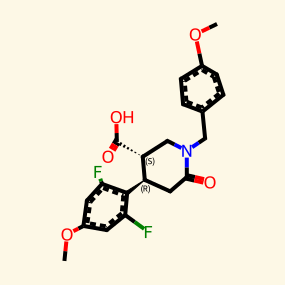 COc1ccc(CN2C[C@@H](C(=O)O)[C@H](c3c(F)cc(OC)cc3F)CC2=O)cc1